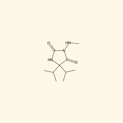 CNN1C(=O)NC(C(C)C)(C(C)C)C1=O